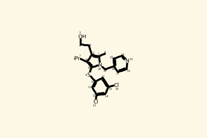 Cc1c(CCO)c(C(C)C)c(Sc2cc(Cl)cc(Cl)c2)n1Cc1ccncc1